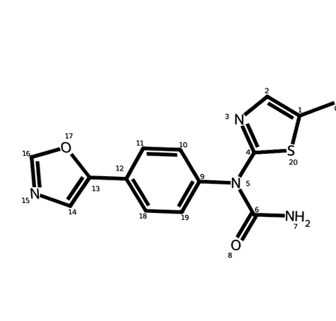 Cc1cnc(N(C(N)=O)c2ccc(-c3cnco3)cc2)s1